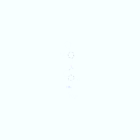 O=C(O)CCNCc1cc2c(cc1Cl)C(=NOCc1ccc(C3CCCCC3)c(C(F)(F)F)c1)CCC2